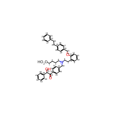 O=C(O)CCCCN(CCc1ccccc1OCc1ccc(CCc2ccccc2)cc1)Cc1ccc(C(=O)C(O)c2ccccc2)cc1